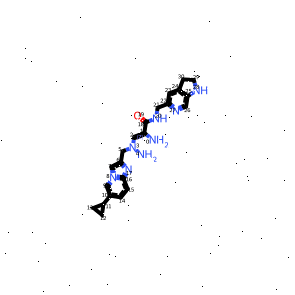 N/C(=C\N(N)Cc1cn2cc(C3CC3)ccc2n1)C(=O)NCc1cc2c(cn1)NCC2